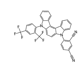 N#Cc1ccc(-n2c3ccccc3c3c4c5ccccc5n(-c5ccc(C(F)(F)F)cc5C(F)(F)F)c4ccc32)c(C#N)c1